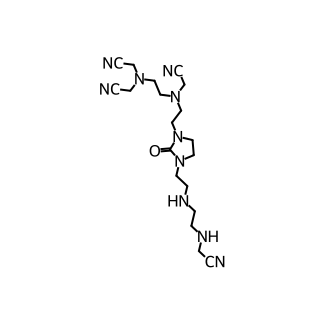 N#CCNCCNCCN1CCN(CCN(CC#N)CCN(CC#N)CC#N)C1=O